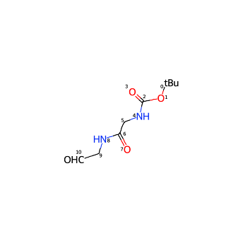 CC(C)(C)OC(=O)NCC(=O)NCC=O